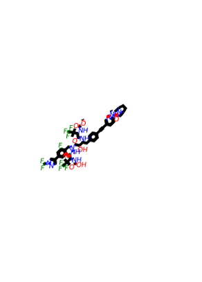 COC(=O)NC(C(=O)NC(Cc1ccc(C#Cc2ccc(N3CC4CCC(C3)N4C(=O)N(C)C)nc2)cc1)C(O)CN(Cc1c(F)cc(-c2cnn(C(F)F)c2)cc1F)NC(=O)C(NC(=O)O)C(C)(C)C(F)(F)F)C(C)(C)C(F)(F)F